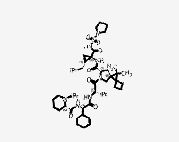 CC(C)C[C@@H]1C[C@]1(NC(=O)[C@@H]1C[C@@]2(CN1C(=O)[C@@H](NC(=O)[C@@H](NC(=O)[C@@H]1CCCCN1C(C)C)C1CCCCC1)C(C)C)C(C)(C)C21CCC1)C(=O)NS(=O)(=O)N1CCCC1